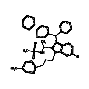 CC(NS(C)(=O)=O)c1c(CCCc2ccc(C(=O)O)cc2)c2cc(Cl)ccc2n1C(c1ccccc1)c1ccccc1.c1ccccc1